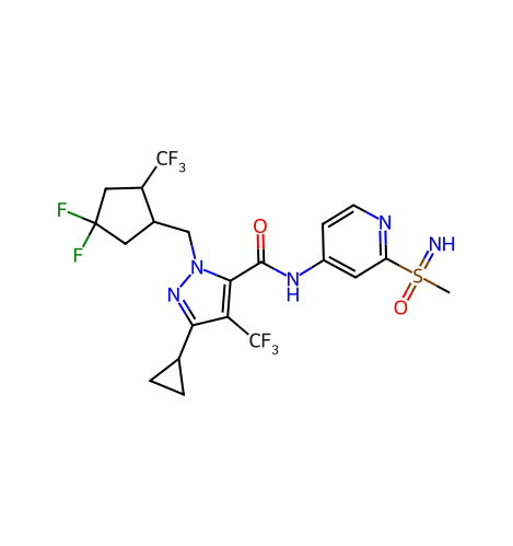 CS(=N)(=O)c1cc(NC(=O)c2c(C(F)(F)F)c(C3CC3)nn2CC2CC(F)(F)CC2C(F)(F)F)ccn1